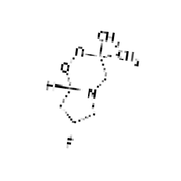 CC1(C)CN2C[C@H](F)C[C@@H]2OO1